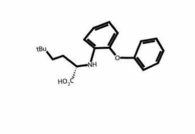 CC(C)(C)CC[C@H](Nc1ccccc1Oc1ccccc1)C(=O)O